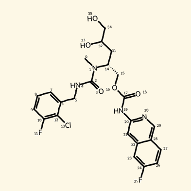 CN(C(=O)NCc1cccc(F)c1Cl)[C@@H](COC(=O)Nc1cc2cc(F)ccc2cn1)CC(O)CO